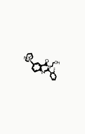 O=c1c2cc(N3CCN4CCC3CC4)ccc2nc(-c2ccccc2F)n1CCO